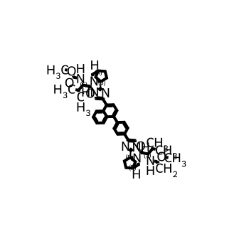 C=C(N[C@H](C(=O)N1C[C@@H]2CC[C@@]1(c1nc(-c3ccc(-c4ccc(-c5c[nH]c([C@@]67CC[C@@H](CN6C(=O)[C@@H](NC(=O)OC)C(C)C)C7)n5)c5ccccc45)cc3)c[nH]1)C2)C(C)C)OC